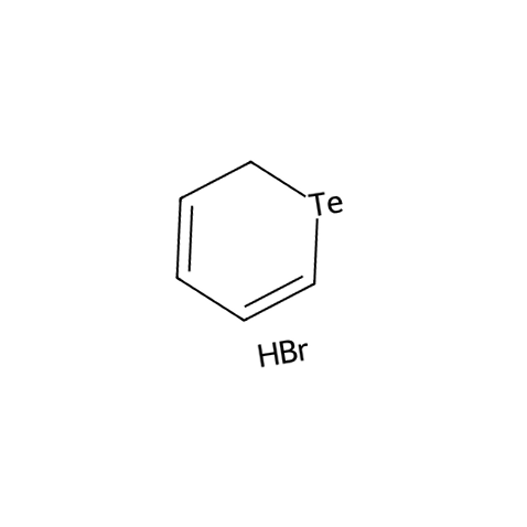 Br.C1=CC[Te]C=C1